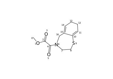 COC(=O)C(=O)N1CCSC2=CCCC=C2C1